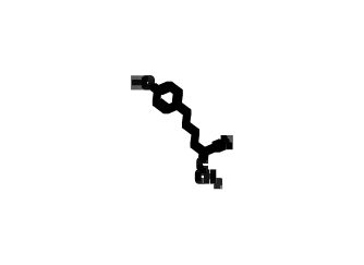 C=C=C(C#N)CCCCc1ccc(O)cc1